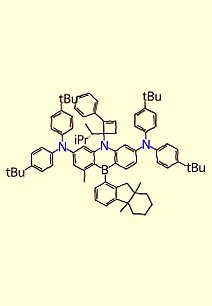 Cc1cc(N(c2ccc(C(C)(C)C)cc2)c2ccc(C(C)(C)C)cc2)cc2c1B(c1cccc3c1CC1(C)CCCCC31C)c1ccc(N(c3ccc(C(C)(C)C)cc3)c3ccc(C(C)(C)C)cc3)cc1N2C1([C@@H](C)C(C)C)CC=C1c1ccccc1